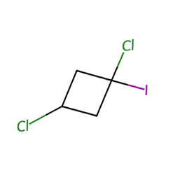 ClC1CC(Cl)(I)C1